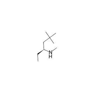 CC[C@@H](CC(C)(C)C)NC